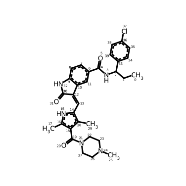 CCC(NC(=O)c1ccc2c(c1)C(=Cc1[nH]c(C)c(C(=O)N3CCN(C)CC3)c1C)C(=O)N2)c1ccc(Cl)cc1